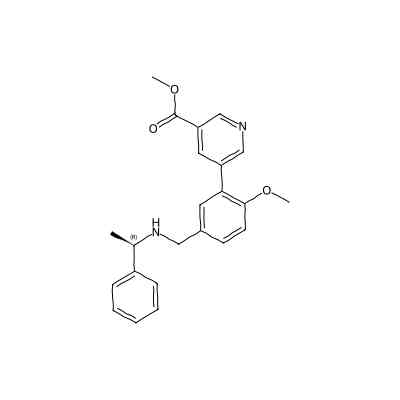 COC(=O)c1cncc(-c2cc(CN[C@H](C)c3ccccc3)ccc2OC)c1